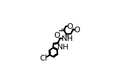 C[C@H]1COC(=O)C[C@@H]1NC(=O)c1cc2cc(Cl)ccc2[nH]1